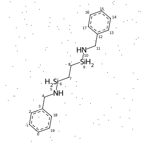 c1ccc(CN[SiH2]CC[SiH2]NCc2ccccc2)cc1